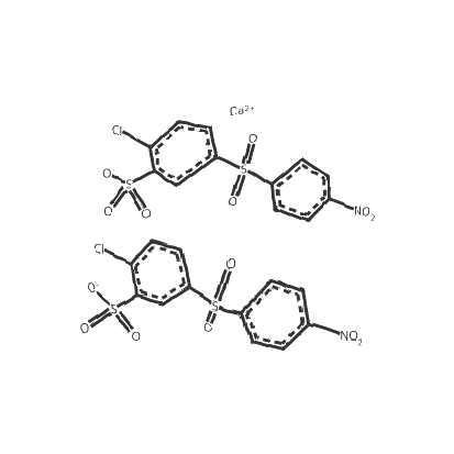 O=[N+]([O-])c1ccc(S(=O)(=O)c2ccc(Cl)c(S(=O)(=O)[O-])c2)cc1.O=[N+]([O-])c1ccc(S(=O)(=O)c2ccc(Cl)c(S(=O)(=O)[O-])c2)cc1.[Ca+2]